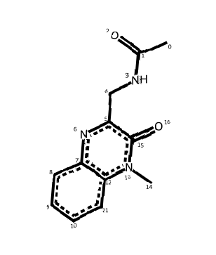 CC(=O)NCc1nc2ccccc2n(C)c1=O